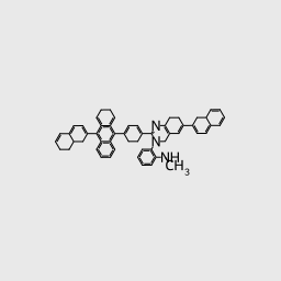 CNc1ccccc1N1CC2=C(CCC(C3=CC=C4C=CC=CC4C3)=C2)N=C1C1=CC=C(c2c3c(c(C4=CC=C5C=CCCC5C4)c4ccccc24)=CCCC=3)CC1